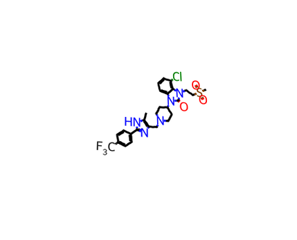 Cc1[nH]c(-c2ccc(C(F)(F)F)cc2)nc1CN1CCC(n2c(=O)n(CCS(C)(=O)=O)c3c(Cl)cccc32)CC1